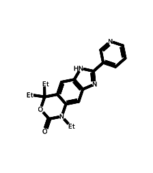 CCN1C(=O)OC(CC)(CC)c2cc3[nH]c(-c4cccnc4)nc3cc21